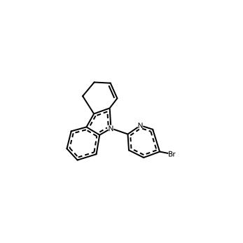 Brc1ccc(-n2c3c(c4ccccc42)CCC=C3)nc1